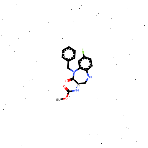 CC(C)(C)OC(=O)N[C@H]1CNc2ccc(F)cc2N(Cc2ccccc2)C1=O